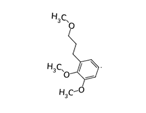 COCCCc1c[c]cc(OC)c1OC